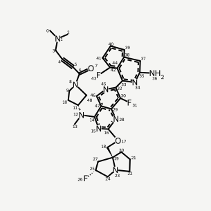 CN(C)CC#CC(=O)N1CC[C@@H](N(C)c2nc(OC[C@@]34CCCN3C[C@H](F)C4)nc3c(F)c(-c4nc(N)cc5cccc(F)c45)ncc23)C1